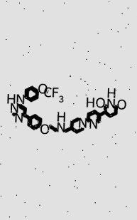 O=C1CCC(c2ccc(N3CCC(CNCCOc4ccc(-c5cc(Nc6ccc(OC(F)(F)F)cc6)ncn5)cc4)CC3)nc2)C(O)N1